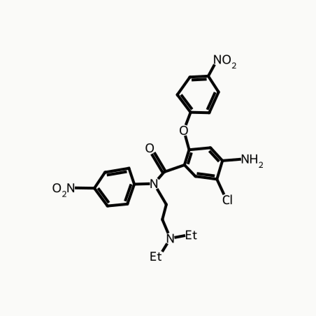 CCN(CC)CCN(C(=O)c1cc(Cl)c(N)cc1Oc1ccc([N+](=O)[O-])cc1)c1ccc([N+](=O)[O-])cc1